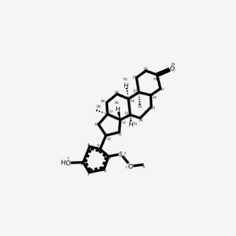 COSc1ccc(O)cc1C1C[C@H]2[C@@H]3CCC4CC(=O)CC[C@]4(C)[C@@H]3CC[C@]2(C)C1